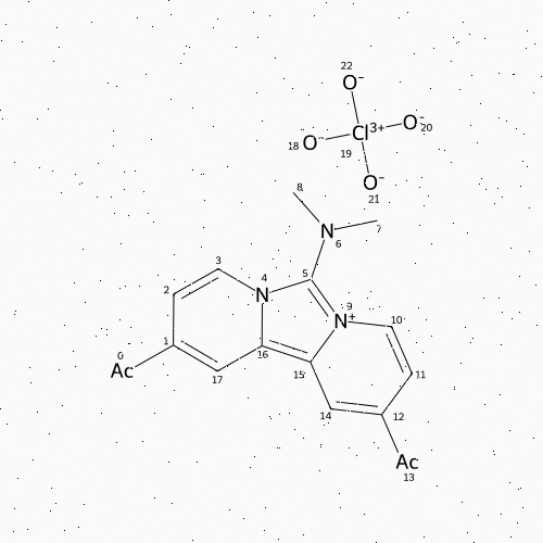 CC(=O)c1ccn2c(N(C)C)[n+]3ccc(C(C)=O)cc3c2c1.[O-][Cl+3]([O-])([O-])[O-]